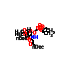 C=CCOP(=O)(OCC=C)OCCO[C@H]1O[C@@H]2COC(C)(C)O[C@H]2[C@H](OCCCCCCCCCC)[C@H]1NC(=O)CC(=O)CCCCCCCCCCC